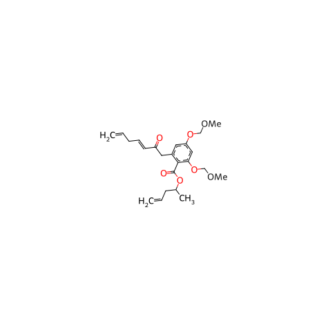 C=CC/C=C/C(=O)Cc1cc(OCOC)cc(OCOC)c1C(=O)OC(C)CC=C